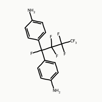 Nc1ccc(C(F)(c2ccc(N)cc2)C(F)(F)C(F)(F)C(F)(F)F)cc1